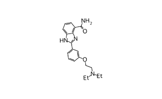 CCN(CC)CCOc1cccc(-c2nc3c(C(N)=O)cccc3[nH]2)c1